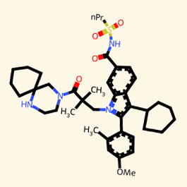 CCCS(=O)(=O)NC(=O)c1ccc2c(C3CCCCC3)c(-c3ccc(OC)cc3C)n(CC(C)(C)C(=O)N3CCNC4(CCCCC4)C3)c2c1